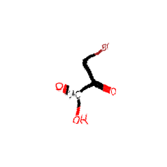 O=C(CBr)[14C](=O)O